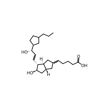 CCCC1CCC([C@@H](O)C=C[C@@H]2[C@H]3CC(=CCCCC(=O)O)C[C@@H]3C[C@H]2O)C1